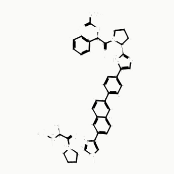 CNC(=O)N[C@@H](C(=O)N1CCC[C@H]1c1ncc(-c2ccc(-c3ccc4cc(-c5c[nH]c([C@@H]6CCCN6C(=O)[C@@H](NC=O)C(C)C)n5)ccc4c3)cc2)[nH]1)c1ccccc1